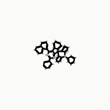 c1ccc(-c2nc(-c3cccc4ccccc34)c3c(n2)C2(c4ccccc4-3)c3ccccc3N(c3ccccc3)c3ccccc32)cc1